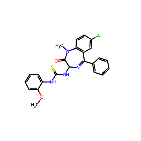 COc1ccccc1NC(=S)NC1N=C(c2ccccc2)c2cc(Cl)ccc2N(C)C1=O